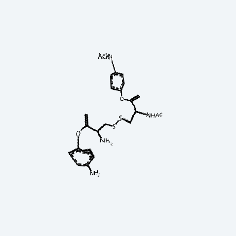 C=C(Oc1ccc(N)cc1)C(N)CSSCC(NC(C)=O)C(=C)Oc1ccc(NC(C)=O)cc1